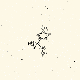 Cn1cc(C2(NO)CN2)cn1